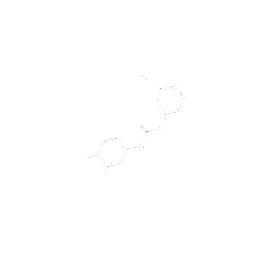 N#Cc1cccc(NC(=O)Nc2ccc(Cl)c(C(F)(F)F)c2)c1